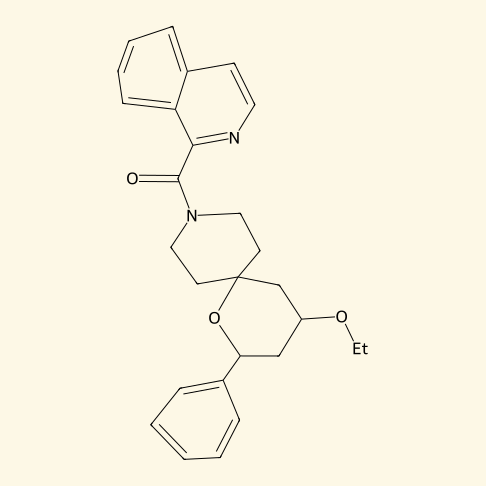 CCOC1CC(c2ccccc2)OC2(CCN(C(=O)c3nccc4ccccc34)CC2)C1